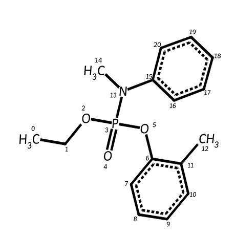 CCOP(=O)(Oc1ccccc1C)N(C)c1ccccc1